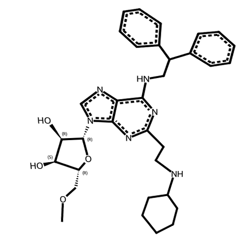 COC[C@H]1O[C@@H](n2cnc3c(NCC(c4ccccc4)c4ccccc4)nc(CCNC4CCCCC4)nc32)[C@H](O)[C@@H]1O